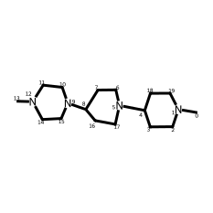 CN1CCC(N2CCC(N3CCN(C)CC3)CC2)CC1